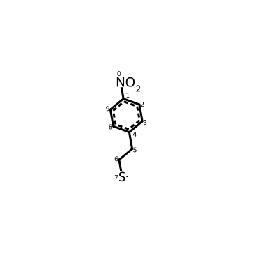 O=[N+]([O-])c1ccc(CC[S])cc1